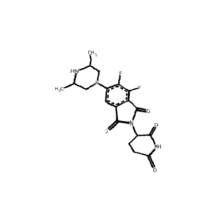 CC1CN(c2cc3c(c(F)c2F)C(=O)N(C2CCC(=O)NC2=O)C3=O)CC(C)N1